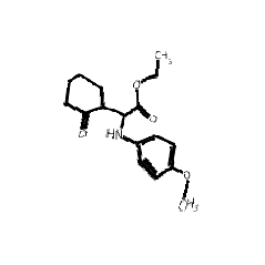 CCOC(=O)C(Nc1ccc(OC)cc1)C1CCCCC1=O